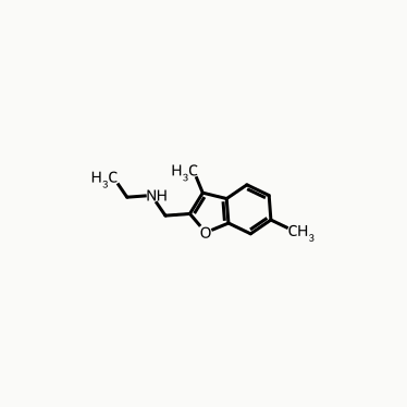 CCNCc1oc2cc(C)ccc2c1C